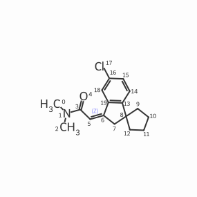 CN(C)C(=O)/C=C1/CC2(CCCC2)c2ccc(Cl)cc21